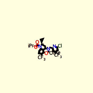 COC(=O)N(Cc1cc(C(F)(F)F)cc(Cl)n1)[C@@H]1C[C@H](C2CC2)N(C(=O)OC(C)C)c2ccc(C(F)(F)F)cc21